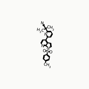 Cc1ccc(S(=O)(=O)n2ccc3c(-c4cccc(C(C)(C)C#N)n4)ccnc32)cc1